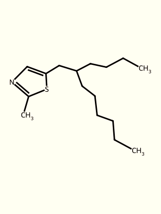 CCCCCCC(CCCC)Cc1cnc(C)s1